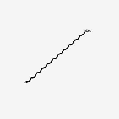 [CH]=CC=CCCCCCCCCCCCCCCCCCCCCCCCCCCCC